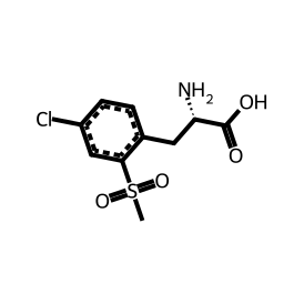 CS(=O)(=O)c1cc(Cl)ccc1C[C@H](N)C(=O)O